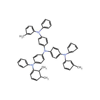 Cc1cccc(N(c2ccccc2)c2ccc(N(c3ccc(N(C4=CC=CC(C)C4C)c4ccccc4)cc3)c3ccc(N(c4ccccc4)c4cccc(C)c4)cc3)cc2)c1